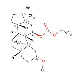 CCO[C@@H]1CC[C@@H]2CC[C@@H]3[C@H]([C@H](OC(=O)OCC(Cl)(Cl)Cl)C[C@]4(C)[C@@H](C(C)=O)CC[C@@H]34)[C@@]2(C)C1